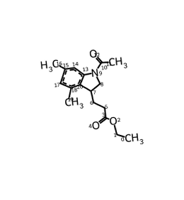 CCOC(=O)CCC1CN(C(C)=O)c2cc(C)cc(C)c21